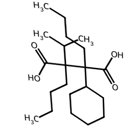 CCCCC(C(=O)O)(C(C)C)C(CCCC)(C(=O)O)C1CCCCC1